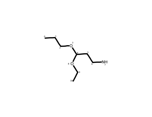 CCCOC(CC[NH])OCC